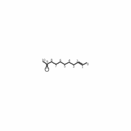 CC=CCCCCCCC(C)=O